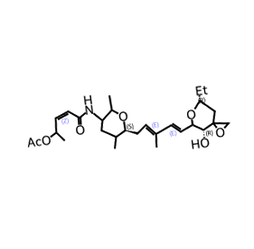 CC[C@@H]1CC2(CO2)[C@H](O)C(/C=C/C(C)=C/C[C@@H]2OC(C)C(NC(=O)/C=C\C(C)OC(C)=O)CC2C)O1